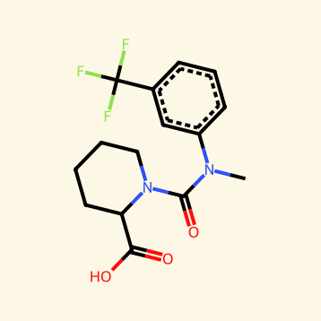 CN(C(=O)N1CCCCC1C(=O)O)c1cccc(C(F)(F)F)c1